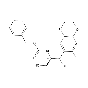 O=C(N[C@H](CO)C(O)c1cc2c(cc1F)OCCO2)OCc1ccccc1